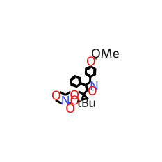 COCOc1ccc(-c2noc(C3(COCC4COCCN4C(=O)OC(C)(C)C)CC3)c2-c2ccccc2)cc1